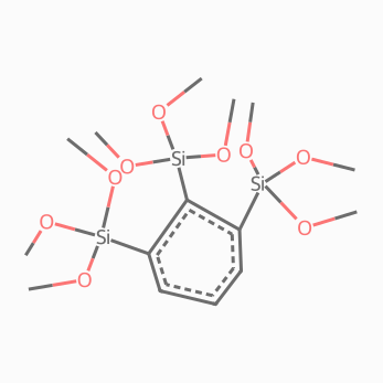 CO[Si](OC)(OC)c1cccc([Si](OC)(OC)OC)c1[Si](OC)(OC)OC